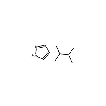 CC(C)C(C)C.c1cn[nH]c1